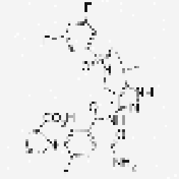 CC1(C)c2[nH]nc(NC(=O)c3cc(-n4cccc4C(=O)O)c(F)cc3C(N)=O)c2CN1S(=O)(=O)c1cc(F)cc(F)c1